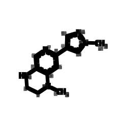 CN1CCNc2cnc(-c3cnn(C)c3)cc21